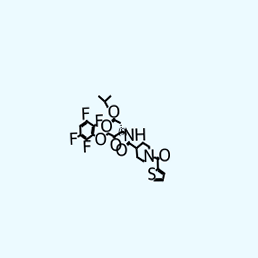 CC(C)COC(=O)C[C@H](NC(=O)C1CCN(C(=O)c2cccs2)CC1)C(=O)COc1c(F)c(F)cc(F)c1F